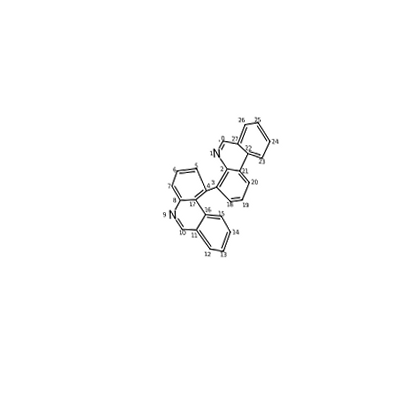 [c]1nc2c(-c3cccc4ncc5ccccc5c34)cccc2c2ccccc12